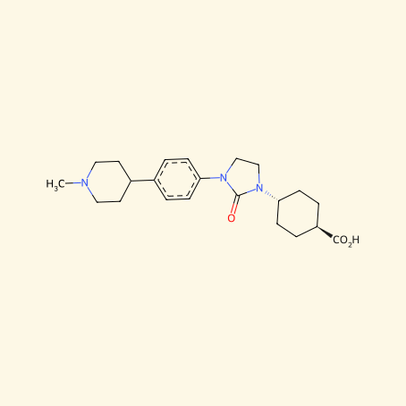 CN1CCC(c2ccc(N3CCN([C@H]4CC[C@H](C(=O)O)CC4)C3=O)cc2)CC1